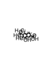 CCc1c(C(=O)O)c(O)c(O)c2cc(C(=O)O)ccc12